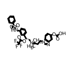 CC(C)(CCn1cnc2cc(OC(=O)O)ccc21)NC[C@H](OC(=O)C(F)(F)F)c1cccc(NS(=O)(=O)c2ccccc2)c1